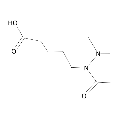 CC(=O)N(CCCCC(=O)O)N(C)C